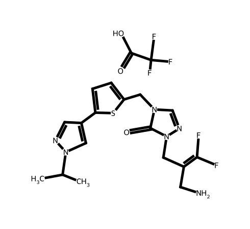 CC(C)n1cc(-c2ccc(Cn3cnn(CC(CN)=C(F)F)c3=O)s2)cn1.O=C(O)C(F)(F)F